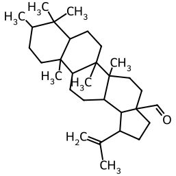 C=C(C)C1CCC2(C=O)CCC3(C)C(CCC4C5(C)CCC(C)C(C)(C)C5CCC43C)C12